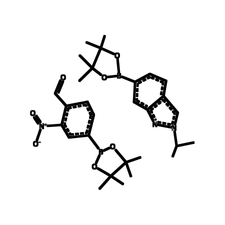 CC(C)n1cc2ccc(B3OC(C)(C)C(C)(C)O3)cc2n1.CC1(C)OB(c2ccc(C=O)c([N+](=O)[O-])c2)OC1(C)C